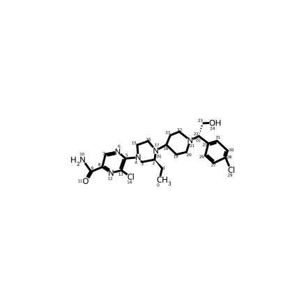 CC[C@H]1CN(c2ncc(C(N)=O)nc2Cl)CCN1C1CCN([C@H](CO)c2ccc(Cl)cc2)CC1